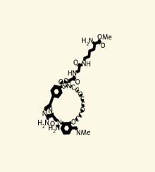 CNCc1cccc2c1OCCOCCOCCN(CC(=O)NCC(=O)NCCCCC(N)C(=O)OC)S(=O)(=O)c1ccc(cc1)-c1cnc(N)c(n1)C(=O)N2N